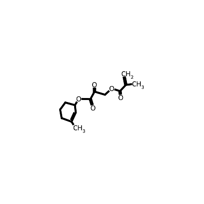 C=C(C)C(=O)OCC(=O)C(=O)OC1C=C(C)CCC1